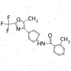 Cc1ccccc1C(=O)Nc1ccc(-c2nc(C(F)(F)F)oc2C)cc1